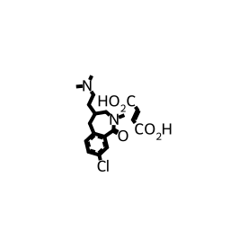 CN(C)CCC1Cc2ccc(Cl)cc2C(=O)N(C)C1.O=C(O)C=CC(=O)O